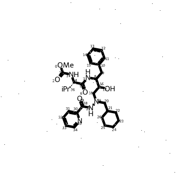 COC(=O)N[C@H](C(=O)NC(Cc1ccccc1)C(O)CN(CC1CCCCC1)NC(=O)c1ccccn1)C(C)C